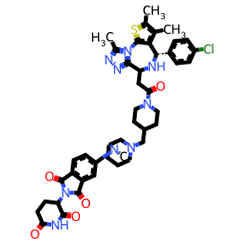 Cc1sc2c(c1C)[C@H](c1ccc(Cl)cc1)NC(CC(=O)N1CCC(CN3CC4CCC3CN4c3ccc4c(c3)C(=O)N(C3CCC(=O)NC3=O)C4=O)CC1)c1nnc(C)n1-2